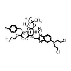 CCOC(=O)[C@H](Cc1ccc(F)cc1)NC(=O)[C@H](Cc1nc2cc(N(CCCl)CCCl)ccc2n1C)NC(=O)OC(C)(C)C